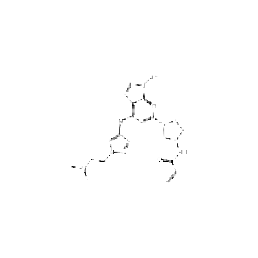 C=CC(=O)NC1CCN(c2nc(Nc3cnn(CCN(C)C)c3)c3ncn(C(C)C)c3n2)C1